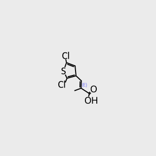 C/C(=C\c1cc(Cl)sc1Cl)C(=O)O